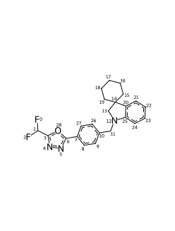 FC(F)c1nnc(-c2ccc(CN3CC4(CCCCC4)c4ccccc43)cc2)o1